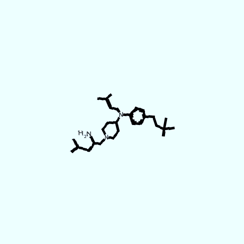 CC(C)=CCN(c1ccc(CCC(C)(C)C)cc1)C1CCN(CC(N)CC(C)C)CC1